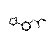 C=CC(=O)Oc1cccc(-c2cscn2)c1